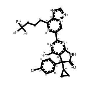 O=C1Nc2nc(-c3cn4ncnc4c(CCCC(F)(F)F)n3)nc(O)c2C1(c1ccc(Cl)cc1)C1CC1